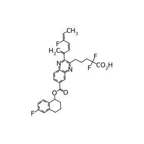 C=C(/C=C\C(F)=C/C)c1nc2ccc(C(=O)OC3CCCc4cc(F)ccc43)cc2nc1CCCC(F)(F)C(=O)O